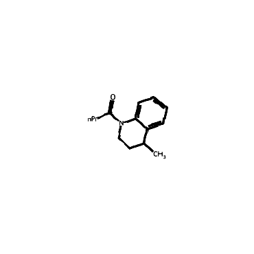 CCCC(=O)N1CCC(C)c2ccccc21